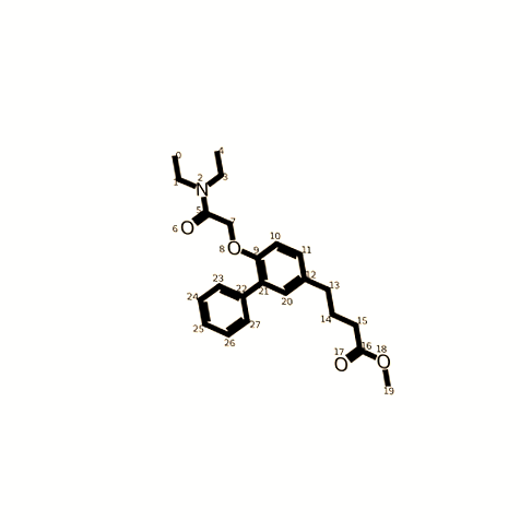 CCN(CC)C(=O)COc1ccc(CCCC(=O)OC)cc1-c1ccccc1